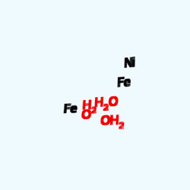 O.O.O.[Fe].[Fe].[Ni]